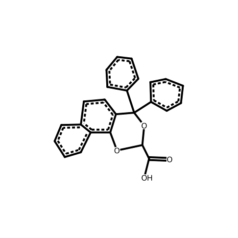 O=C(O)C1Oc2c(ccc3ccccc23)C(c2ccccc2)(c2ccccc2)O1